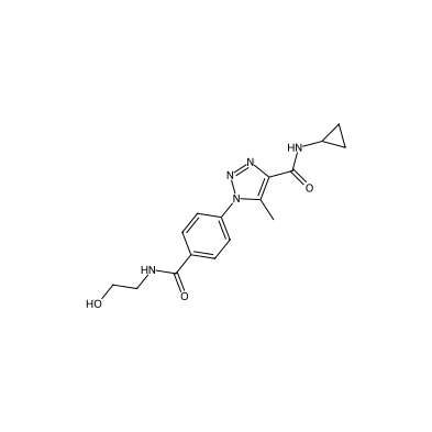 Cc1c(C(=O)NC2CC2)nnn1-c1ccc(C(=O)NCCO)cc1